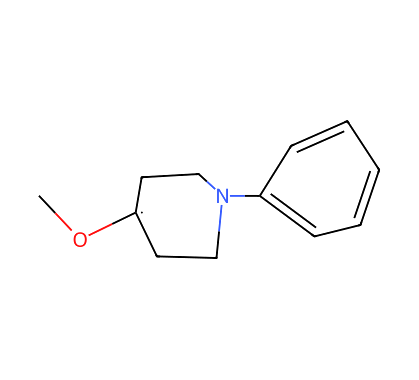 CO[C]1CCN(c2ccccc2)CC1